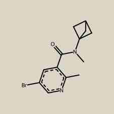 Cc1ncc(Br)cc1C(=O)N(C)C12CC(C1)C2